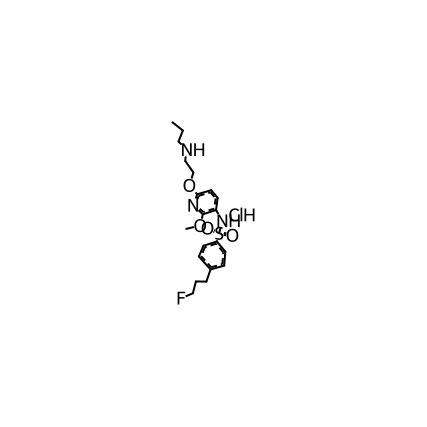 CCCNCCOc1ccc(NS(=O)(=O)c2ccc(CCCF)cc2)c(OC)n1.Cl